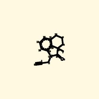 C#CCN1C(=O)C2(C)CCCc3cccc1c32